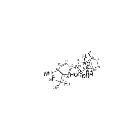 C[C@@]12CC[C@@H](O1)[C@H]1[C@@H]2CN(c2ccc(C#N)c(C(F)(F)F)c2)S1(O)O